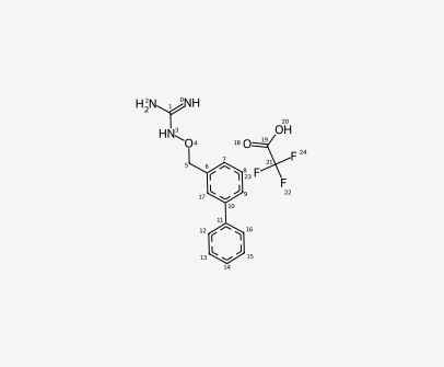 N=C(N)NOCc1cccc(-c2ccccc2)c1.O=C(O)C(F)(F)F